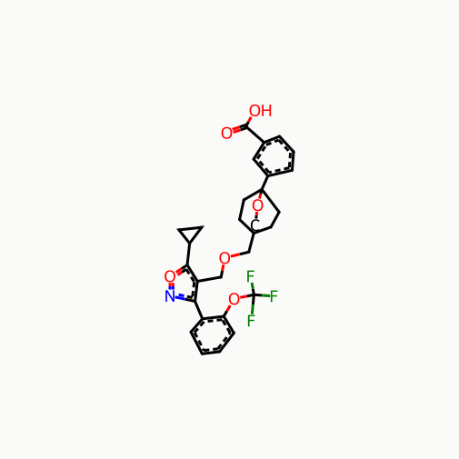 O=C(O)c1cccc(C23CCC(COCc4c(-c5ccccc5OC(F)(F)F)noc4C4CC4)(CC2)CO3)c1